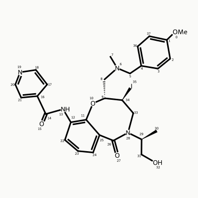 COc1ccc(CN(C)C[C@H]2Oc3c(NC(=O)c4ccncc4)cccc3C(=O)N([C@@H](C)CO)C[C@@H]2I)cc1